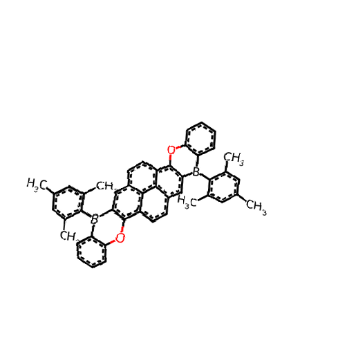 Cc1cc(C)c(B2c3ccccc3Oc3c2cc2ccc4c5c(cc6ccc3c2c64)B(c2c(C)cc(C)cc2C)c2ccccc2O5)c(C)c1